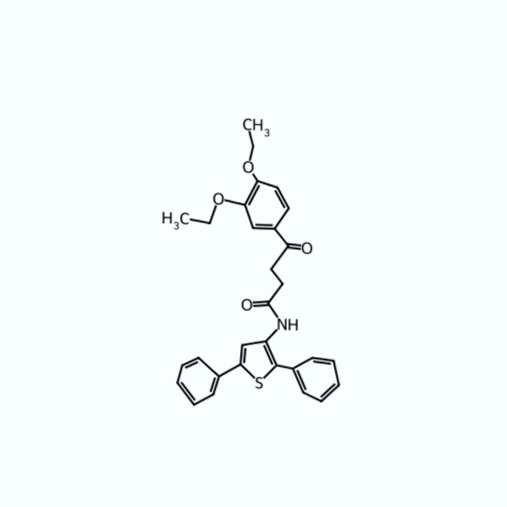 CCOc1ccc(C(=O)CCC(=O)Nc2cc(-c3ccccc3)sc2-c2ccccc2)cc1OCC